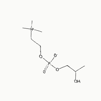 CC(O)COP(=O)([O-])OCC[N+](C)(C)C